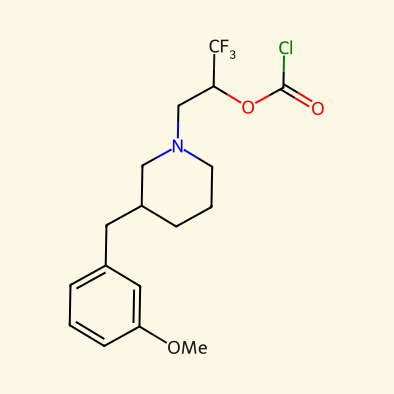 COc1cccc(CC2CCCN(CC(OC(=O)Cl)C(F)(F)F)C2)c1